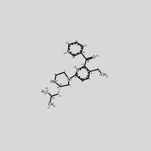 CCc1ccc(N2CCN[C@@H](CC(C)C)C2)nc1C(=O)c1cccnc1